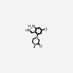 CN1CCN(c2cc(Cl)cc(N)c2C=N)CC1=O